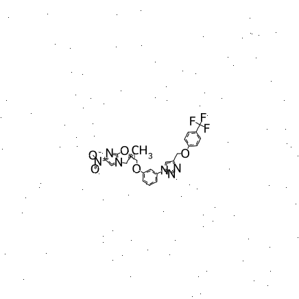 C[C@]1(COc2cccc(-n3cc(COc4ccc(C(F)(F)F)cc4)nn3)c2)Cn2cc([N+](=O)[O-])nc2O1